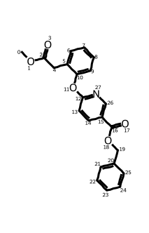 COC(=O)Cc1ccccc1Oc1ccc(C(=O)OCc2ccccc2)cn1